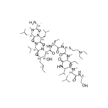 C/C=C/C[C@@H](C)[C@@H](O)[C@@H](C(=O)N[C@@H](CC)C(=O)N(C)[C@H](SCCN(CC)CC)C(=O)N(C)C(C(=O)NC(C(=O)N(C)[C@@H](CC(C)C)C(=O)N[C@H](C)CO)C(C)C)C(C)CC)N(C)C(=O)[C@H](C(C)C)N(C)C(=O)[C@H](CC(C)C)N(C)C(=O)[C@H](CC(C)C)N(C)C(=O)[C@@H](C)N